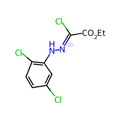 CCOC(=O)/C(Cl)=N/Nc1cc(Cl)ccc1Cl